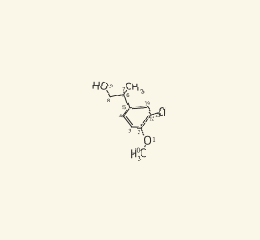 COc1ccc([C](C)CO)cc1Cl